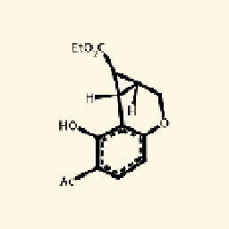 CCOC(=O)C1[C@H]2c3c(ccc(C(C)=O)c3O)OC[C@@H]12